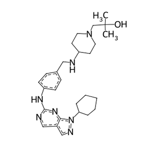 CC(C)(O)CN1CCC(NCc2ccc(Nc3ncc4cnn(C5CCCCC5)c4n3)cc2)CC1